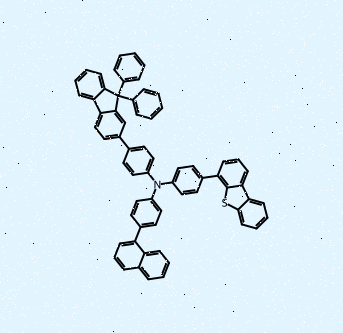 c1ccc(C2(c3ccccc3)c3ccccc3-c3ccc(-c4ccc(N(c5ccc(-c6cccc7ccccc67)cc5)c5ccc(-c6cccc7c6sc6ccccc67)cc5)cc4)cc32)cc1